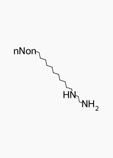 CCCCCCCCCCCCCCCCCCCCNCCN